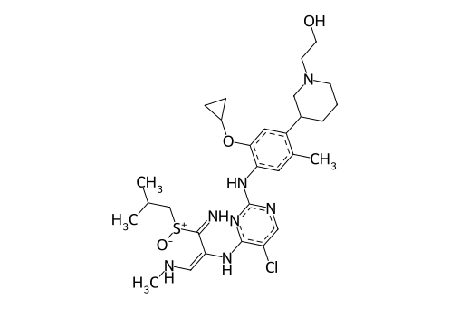 CN/C=C(/Nc1nc(Nc2cc(C)c(C3CCCN(CCO)C3)cc2OC2CC2)ncc1Cl)C(=N)[S+]([O-])CC(C)C